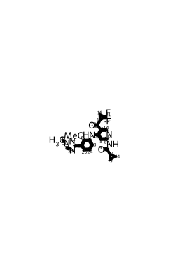 COc1c(Nc2cc(NC(=O)C3CC3)ncc2C(=O)C2CC2(F)F)cccc1-c1ncn(C)n1